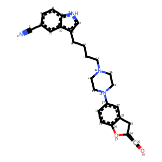 N#Cc1ccc2[nH]cc(CCCCN3CCN(c4ccc5c(c4)CC(=C=O)O5)CC3)c2c1